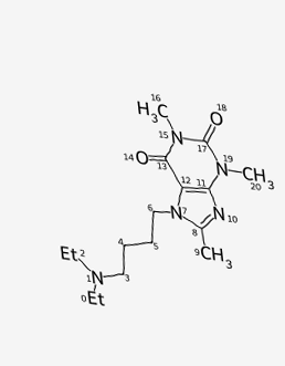 CCN(CC)CCCCn1c(C)nc2c1c(=O)n(C)c(=O)n2C